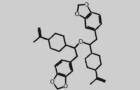 C=C(C)C1CCC(C(Cc2ccc3c(c2)OCO3)OC(Cc2ccc3c(c2)OCO3)C2CCC(C(=C)C)CC2)CC1